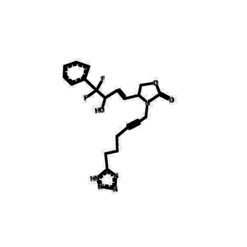 O=C1OCC(/C=C/C(O)C(F)(F)c2ccccc2)N1CC#CCCCc1nnn[nH]1